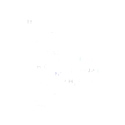 Cc1ccc(C[N+](C)(C)c2ccccc2)cc1.[F][Sb-]([F])([F])([F])([F])[F]